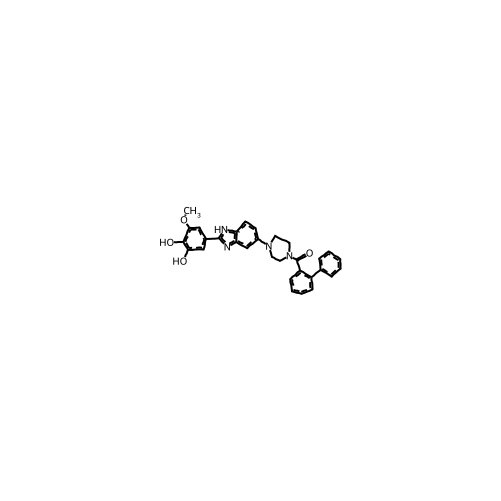 COc1cc(-c2nc3cc(N4CCN(C(=O)c5ccccc5-c5ccccc5)CC4)ccc3[nH]2)cc(O)c1O